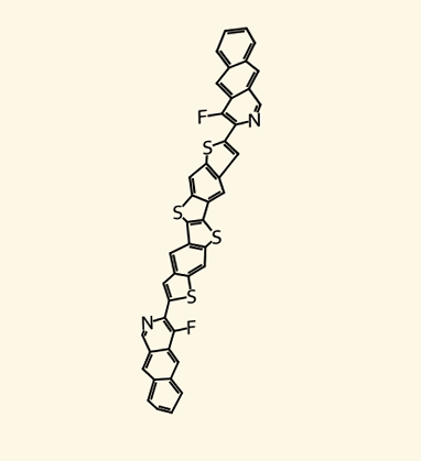 Fc1c(-c2cc3cc4c(cc3s2)sc2c3cc5cc(-c6ncc7cc8ccccc8cc7c6F)sc5cc3sc42)ncc2cc3ccccc3cc12